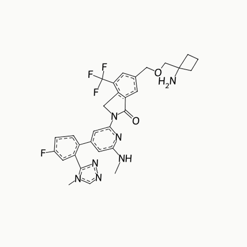 CNc1cc(-c2ccc(F)cc2-c2nncn2C)cc(N2Cc3c(cc(COCC4(N)CCC4)cc3C(F)(F)F)C2=O)n1